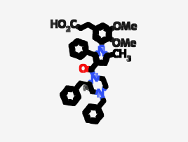 COc1cc(CCC(=O)O)cc(-n2c(C)cc(C(=O)N3CCN(Cc4ccccc4)C[C@H]3Cc3ccccc3)c2-c2ccccc2)c1OC